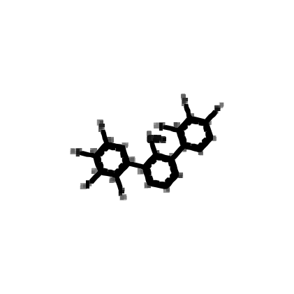 COc1c(-c2ccc(F)c(F)c2F)cccc1-c1cc(F)c(F)c(F)c1F